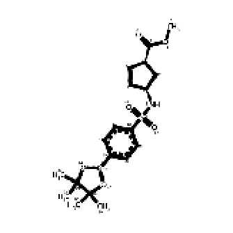 COC(=O)[C@@H]1CC[C@H](NS(=O)(=O)c2ccc(B3OC(C)(C)C(C)(C)O3)cc2)C1